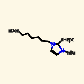 CCCCCCCCCCCCCCCCN1C=CN(CCCC)C1CCCCCCC